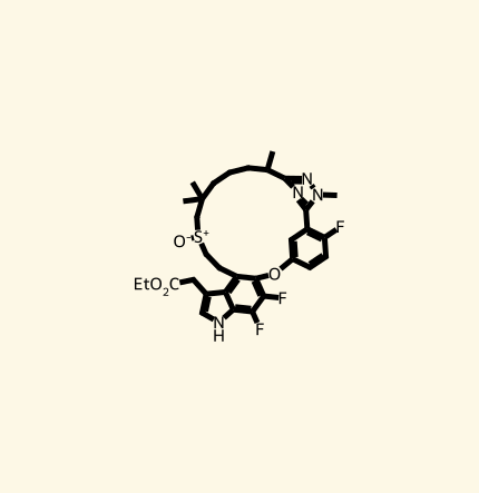 CCOC(=O)Cc1c[nH]c2c(F)c(F)c3c(c12)CC[S+]([O-])CC(C)(C)CCCC(C)c1nc(n(C)n1)-c1cc(ccc1F)O3